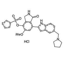 COc1cc(-c2cc3cc(CN4CCCC4)ccc3[nH]2)c2c(c1OS(=O)(=O)c1ccsc1)CNC2=O.Cl